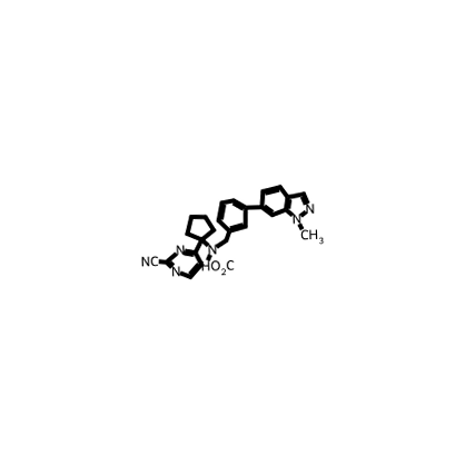 Cn1ncc2ccc(-c3cccc(CN(C(=O)O)C4(c5ccnc(C#N)n5)CCCC4)c3)cc21